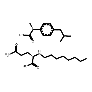 CC(C)Cc1ccc([C@H](C)C(=O)O)cc1.CCCCCCCCN[C@H](CCC(N)=O)C(=O)O